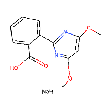 COc1cc(OC)nc(-c2ccccc2C(=O)O)n1.[NaH]